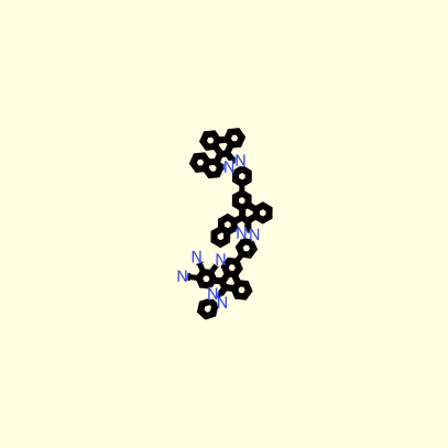 N#Cc1cc2c(c(C#N)c1C#N)c1c3ccc(-c4ccc5nc6c7c8ccccc8c8cc(-c9ccc%10nc%11c%12c%13ccccc%13c%13ccccc%13c%12c%12c%13ccccc%13ccc%12n%11c%10c9)ccc8c7c7ccc8ccccc8c7n6c5c4)cc3c3ccccc3c1c1nc3ccccc3n21